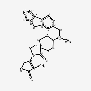 CC1=C(N2CC[C@]3(CC[C@H](N(C)Cc4ccc5c(c4)Cn4nnnc4-5)CC3)C2=O)COC1=O